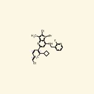 CC/C=C/C=C\C(=C(/C)C1CCC1)c1cc(NCc2cccnc2F)c2c(n1)c(C)c(CC)n2C(C)C